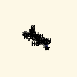 CC(C)(C(=O)OP(=O)(O)OC[C@H]1O[C@@H](n2cc(/C=C/Br)c(=O)[nH]c2=O)C[C@@H]1O)N(OCc1ccccc1)c1ccc(Cl)cc1